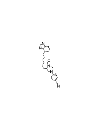 N#Cc1ccc(N2CCN3C(=O)C(CCCc4cccn5ncnc45)CCC3C2)nc1